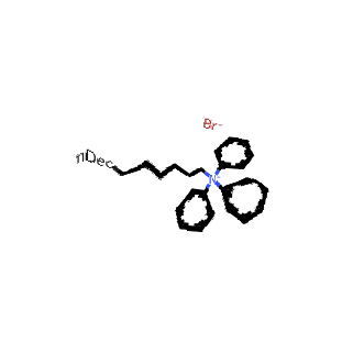 CCCCCCCCCCCCCCCC[N+](c1ccccc1)(c1ccccc1)c1ccccc1.[Br-]